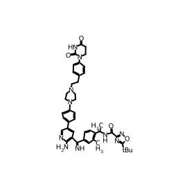 Cc1cc(C(=N)c2cc(-c3ccc(N4CCN(CCc5ccc(N6CCC(=O)NC6=O)cc5)CC4)cc3)cnc2N)ccc1[C@@H](C)NC(=O)c1noc(C(C)(C)C)n1